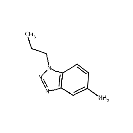 CCCn1nnc2cc(N)ccc21